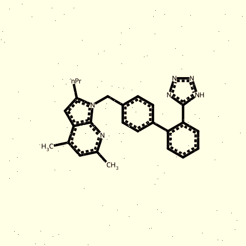 CCCc1cc2c(C)cc(C)nc2n1Cc1ccc(-c2ccccc2-c2nnn[nH]2)cc1